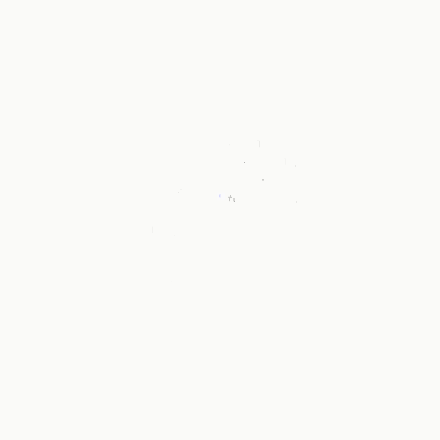 [2H]/C(=C\c1c([2H])c([2H])c2c(c1[2H])OCO2)C([2H])(O)C(C)(C)C